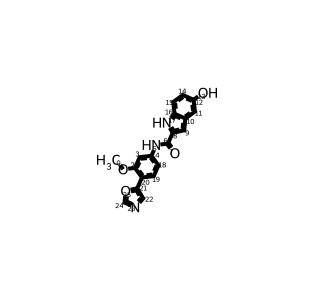 COc1cc(NC(=O)c2cc3cc(O)ccc3[nH]2)ccc1-c1cnco1